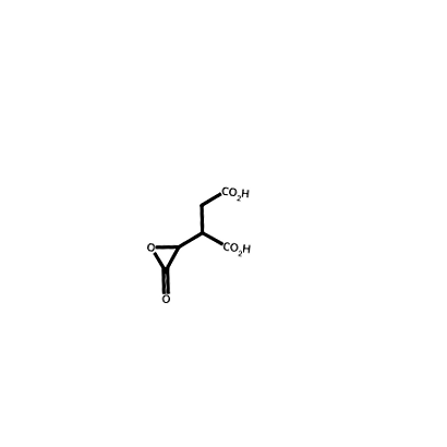 O=C(O)CC(C(=O)O)C1OC1=O